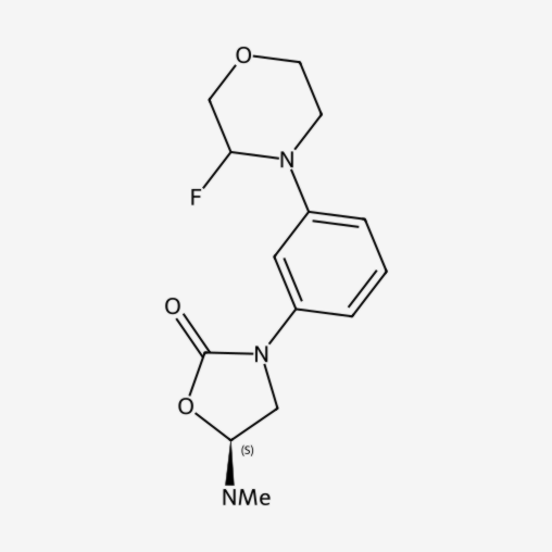 CN[C@@H]1CN(c2cccc(N3CCOCC3F)c2)C(=O)O1